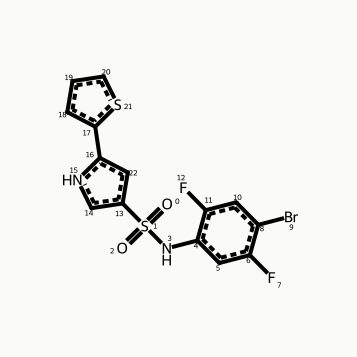 O=S(=O)(Nc1cc(F)c(Br)cc1F)c1c[nH]c(-c2cccs2)c1